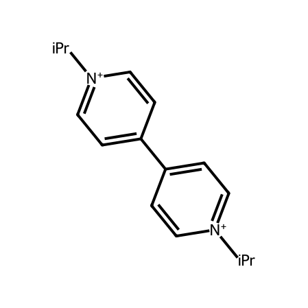 CC(C)[n+]1ccc(-c2cc[n+](C(C)C)cc2)cc1